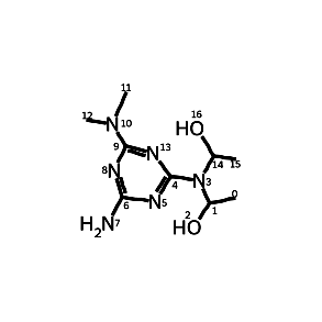 CC(O)N(c1nc(N)nc(N(C)C)n1)C(C)O